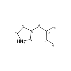 CCC(C)CC1CCNC1